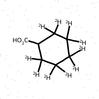 [2H]C1([2H])C(C(=O)O)C([2H])([2H])C([2H])([2H])C([2H])([2H])C1([2H])[2H]